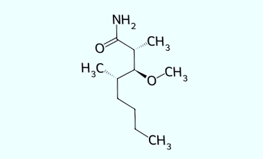 CCCC[C@H](C)[C@H](OC)[C@@H](C)C(N)=O